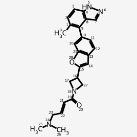 Cc1ccc2[nH]ncc2c1-c1ccc2cc(C3CN(C(=O)/C=C/CN(C)C)C3)oc2c1